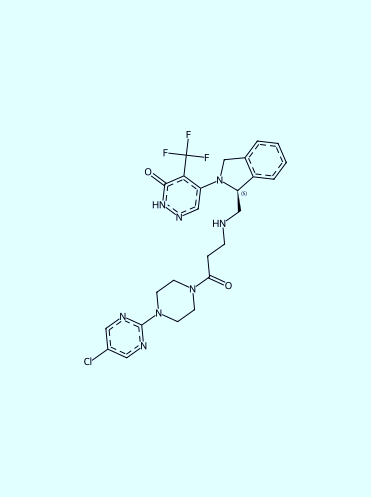 O=C(CCNC[C@@H]1c2ccccc2CN1c1cn[nH]c(=O)c1C(F)(F)F)N1CCN(c2ncc(Cl)cn2)CC1